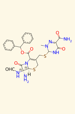 CN1N=C(C(N)=O)C(=O)NC1SCC1=C(C(=O)OC(c2ccccc2)c2ccccc2)N2C(=O)[C@](N)(NC=O)[C@@H]2SC1